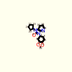 O=c1n(-c2ccc3c(c2)OCO3)c2ncccc2n1C1CCCC1